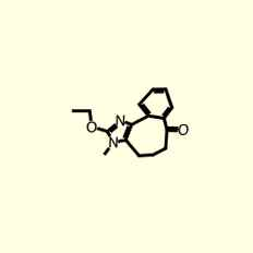 CCOc1nc2c(n1C)CCCC(=O)c1ccccc1-2